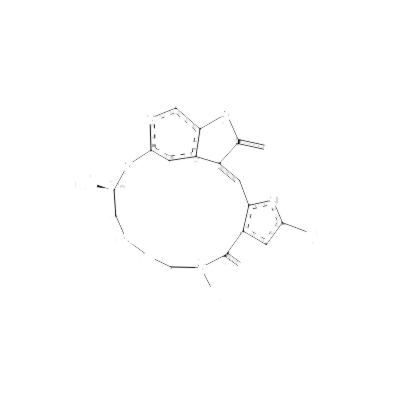 Cc1cc2c([nH]1)/C=C1\C(=O)Nc3cnc(cc31)N[C@H](C)CNCCN(C)C2=O